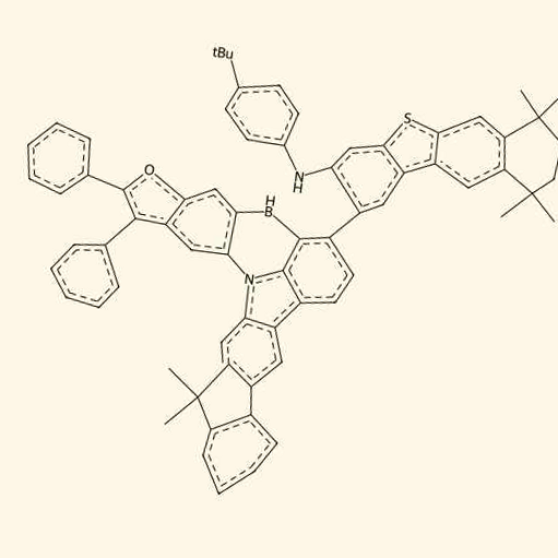 CC(C)(C)c1ccc(Nc2cc3sc4cc5c(cc4c3cc2-c2ccc3c4cc6c(cc4n4c3c2Bc2cc3oc(-c7ccccc7)c(-c7ccccc7)c3cc2-4)C(C)(C)c2ccccc2-6)C(C)(C)CCC5(C)C)cc1